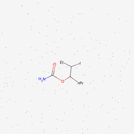 CCCC(OC(N)=O)C(I)CC